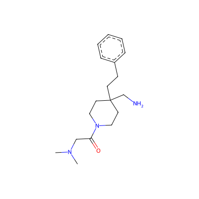 CN(C)CC(=O)N1CCC(CN)(CCc2ccccc2)CC1